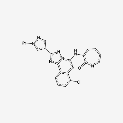 CC(C)n1cc(-c2nc3c4cccc(Cl)c4nc(Nc4ccccnc4=O)n3n2)cn1